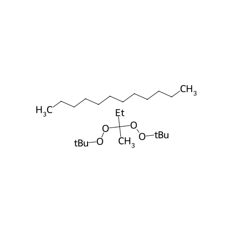 CCC(C)(OOC(C)(C)C)OOC(C)(C)C.CCCCCCCCCCCC